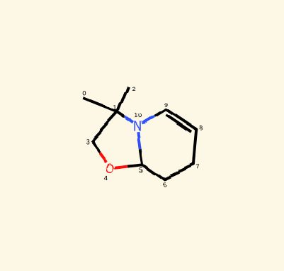 CC1(C)COC2CCC=CN21